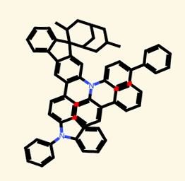 CC1CC2CC(C)C3(c4ccccc4-c4cc(-c5ccc6c(c5)c5ccccc5n6-c5ccccc5)c(N(c5ccc(-c6ccccc6)cc5)c5ccccc5-c5ccccc5)cc43)C(C1)C2